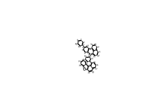 c1ccc(-c2ccc(N(c3cccc(-c4cccc5ccc6oc7ccccc7c6c45)c3)c3cccc4ccccc34)cc2)cc1